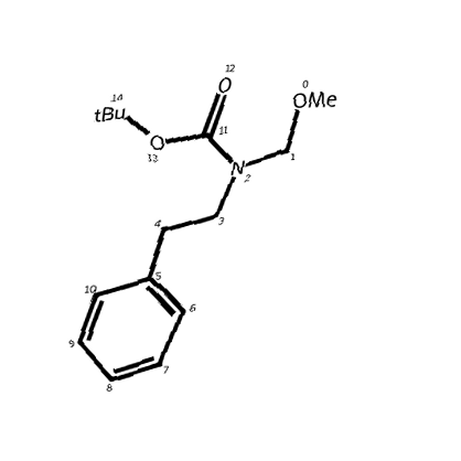 COCN(CCc1ccccc1)C(=O)OC(C)(C)C